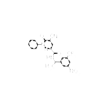 CC(NC(=O)c1cc(C#N)c(=O)n(-c2ccccc2)n1)c1cc([N+](=O)[O-])cc(C(F)(F)F)c1